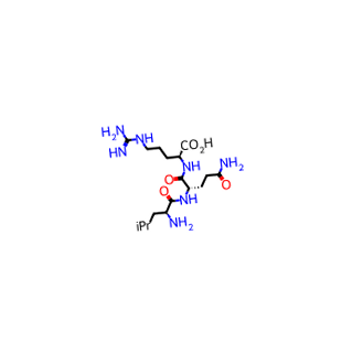 CC(C)C[C@H](N)C(=O)N[C@@H](CCC(N)=O)C(=O)N[C@@H](CCCNC(=N)N)C(=O)O